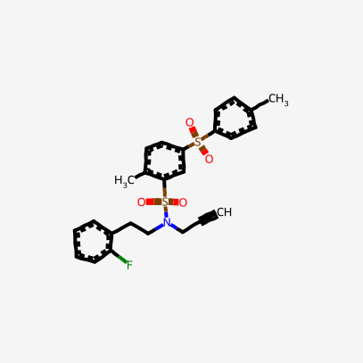 C#CCN(CCc1ccccc1F)S(=O)(=O)c1cc(S(=O)(=O)c2ccc(C)cc2)ccc1C